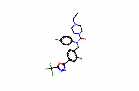 CCN1CCN(C(=O)N(Cc2ccc(-c3nnc(C(F)(F)F)o3)cc2F)c2ccc(F)cc2)CC1